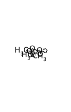 CCOC(=O)C1C(=O)C=C(OC(=O)c2ccccc2)CC1(C)C